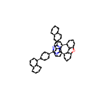 c1ccc2cc(-c3nc(-c4ccc(-c5cccc6ccccc56)cc4)nc(-c4cccc5oc6cccc(-c7cccc8ccccc78)c6c45)n3)ccc2c1